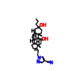 CCC[C@@]1(O)CC[C@@]2(C)[C@H](CC[C@@H]3[C@@H]2[C@H](O)C[C@]2(C)[C@@H](CCn4cc(C#N)cn4)CC[C@@H]32)C1